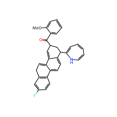 COc1ccccc1C(=O)C1C=c2c(ccc3c2=CCc2cc(F)ccc2-3)C(C2=CC=CC=CN2)C1